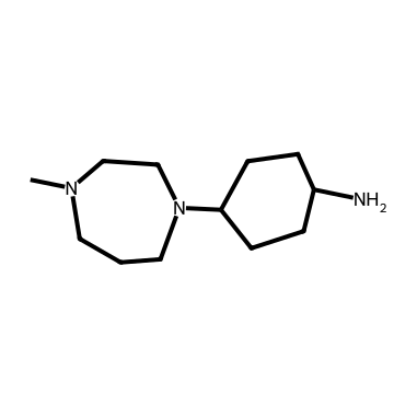 CN1CCCN(C2CCC(N)CC2)CC1